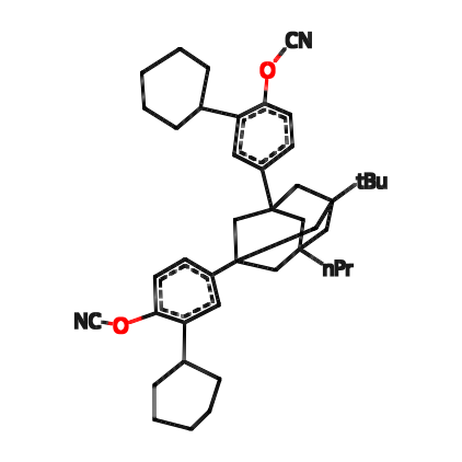 CCCC12CC3(c4ccc(OC#N)c(C5CCCCC5)c4)CC(c4ccc(OC#N)c(C5CCCCC5)c4)(C1)CC(C(C)(C)C)(C2)C3